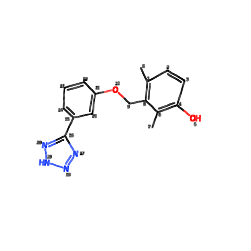 Cc1ccc(O)c(C)c1COc1cccc(-c2nn[nH]n2)c1